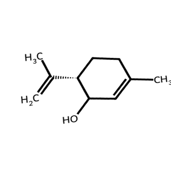 C=C(C)[C@@H]1CCC(C)=CC1O